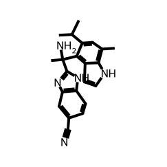 Cc1cc(C(C)C)c(C(C)(N)c2nc3cc(C#N)ccc3[nH]2)c2cc[nH]c12